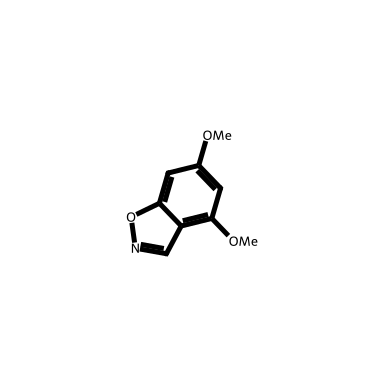 COc1cc(OC)c2cnoc2c1